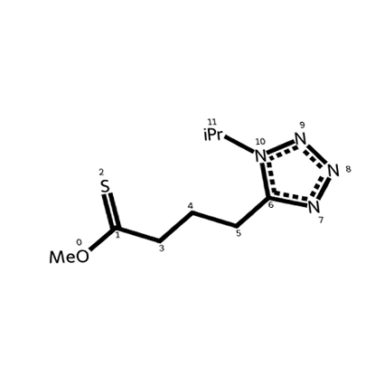 COC(=S)CCCc1nnnn1C(C)C